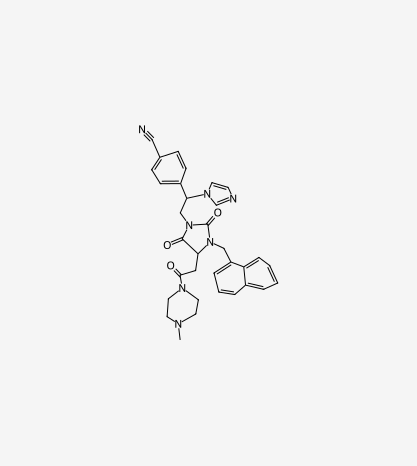 CN1CCN(C(=O)CC2C(=O)N(CC(c3ccc(C#N)cc3)n3ccnc3)C(=O)N2Cc2cccc3ccccc23)CC1